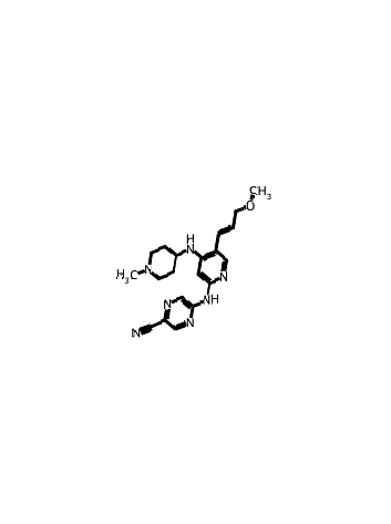 COCC=Cc1cnc(Nc2cnc(C#N)cn2)cc1NC1CCN(C)CC1